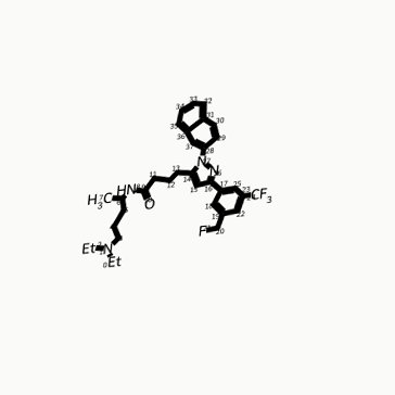 CCN(CC)CCCC(C)NC(=O)CCCc1cc(-c2cc(CF)cc(C(F)(F)F)c2)nn1-c1ccc2ccccc2c1